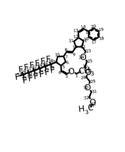 CCO/C=C\C1CC(/C=C/C2CC(/C=C\c3ccccc3)CC2COCCOCCOCCOC)CC1C(F)(F)C(F)(F)C(F)(F)C(F)(F)C(F)(F)C(F)(F)F